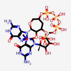 COC1C(OP(=O)(O)O)CC(OP(=O)(O)OP(=O)(O)OP(=O)(O)OC[C@H]2O[C@@](C)(n3c[n+](C)c4c(=O)[nH]c(N)nc43)C(O)C2O)CO[C@H]1n1cnc2c(=O)[nH]c(N)nc21